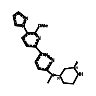 COc1nc(-c2ccc(N(C)[C@@H]3CCN[C@H](C)C3)nn2)ccc1-n1cccn1